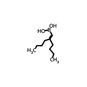 CCCCC(=CB(O)O)CCCC